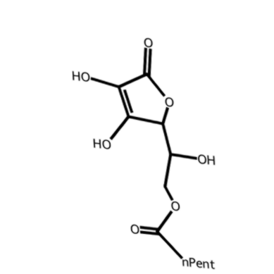 CCCCCC(=O)OCC(O)C1OC(=O)C(O)=C1O